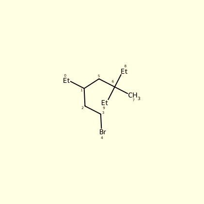 CCC(CCBr)CC(C)(CC)CC